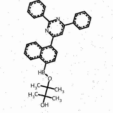 CC(C)(O)C(C)(C)OBc1ccc(-c2cc(-c3ccccc3)nc(-c3ccccc3)n2)c2ccccc12